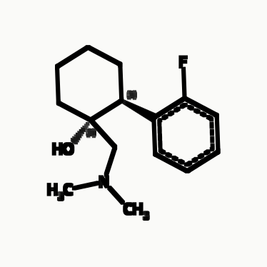 CN(C)C[C@@]1(O)CCCC[C@H]1c1ccccc1F